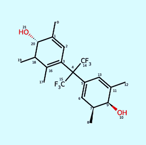 CC1=CC(C(C2=C[C@H](C)[C@H](O)C(C)=C2)(C(F)(F)F)C(F)(F)F)=C(C)C(C)[C@@H]1O